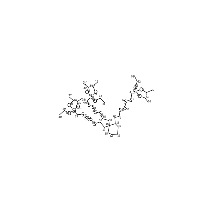 CCO[Si](CSSSSCCC1CCCCC1(CCSSSSC[Si](OCC)(OCC)OCC)CCSSSSC[Si](OCC)(OCC)OCC)(OCC)OCC